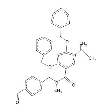 C=C(C)c1cc(C(=O)N(C)Cc2ccc(C=O)cc2)c(OCc2ccccc2)cc1OCc1ccccc1